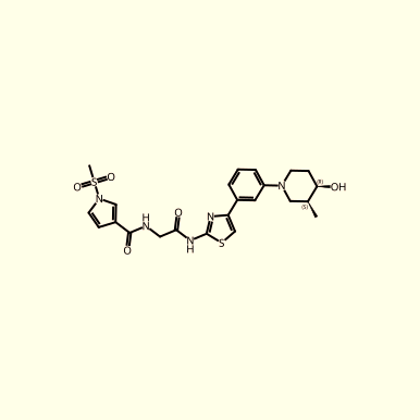 C[C@H]1CN(c2cccc(-c3csc(NC(=O)CNC(=O)c4ccn(S(C)(=O)=O)c4)n3)c2)CC[C@H]1O